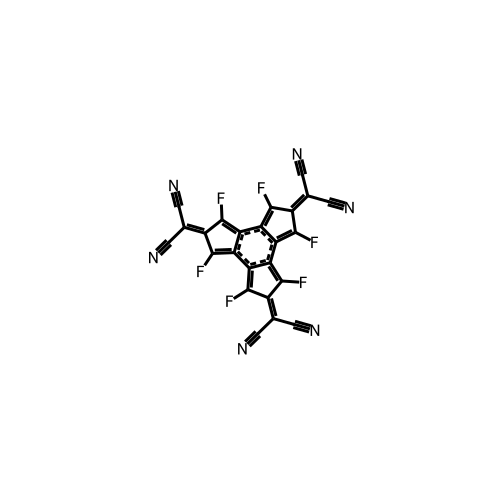 N#CC(C#N)=C1C(F)=c2c3c(c4c(c2=C1F)=C(F)C(=C(C#N)C#N)C=4F)=C(F)C(=C(C#N)C#N)C=3F